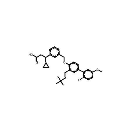 COc1ccc(F)c(-c2ccc(OCc3cccc(C(CC(=O)O)C4CC4)c3)c(CCC(C)(C)C)c2)c1